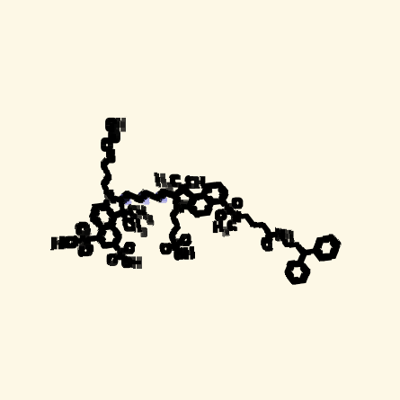 CN(CCCC(=O)NCCC(c1ccccc1)c1ccccc1)S(=O)(=O)c1cccc2c3c(ccc12)[N+](CCCS(=O)(=O)O)=C(/C=C/C=C/C=C1/N(CCCSOOO)c2ccc4c(S(=O)(=O)O)cc(S(=O)(=O)O)cc4c2C1(C)C)C3(C)C